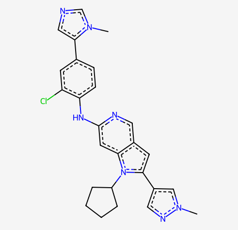 Cn1cc(-c2cc3cnc(Nc4ccc(-c5cncn5C)cc4Cl)cc3n2C2CCCC2)cn1